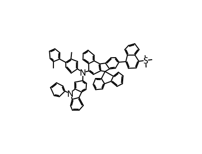 Cc1ccccc1-c1ccc(N(c2ccc3c4ccccc4n(-c4ccccc4)c3c2)c2cc3c(c4ccccc24)-c2ccc(-c4ccc(S(C)(C)C)c5ccccc45)cc2C32c3ccccc3-c3ccccc32)cc1C